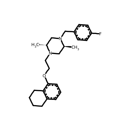 C[C@@H]1CN(Cc2ccc(F)cc2)[C@@H](C)CN1CCOc1cccc2c1CCCC2